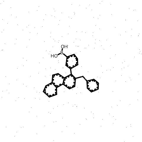 OB(O)c1cccc(-c2c(Cc3ccccc3)ccc3c2ccc2ccccc23)c1